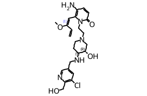 C=C/C(=C\c1c(N)ccc(=O)n1CCN1CC[C@H](NCc2cnc(CO)c(Cl)c2)[C@H](O)C1)OC